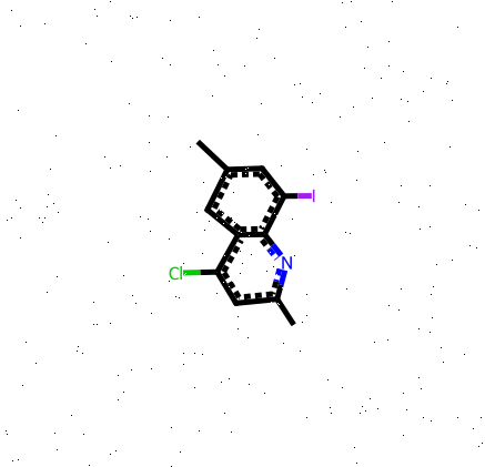 Cc1cc(I)c2nc(C)cc(Cl)c2c1